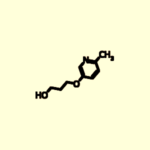 Cc1ccc(OCCCO)cn1